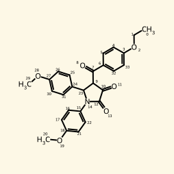 CCOc1ccc(C(=O)C2C(=O)C(=O)N(c3ccc(OC)cc3)C2c2ccc(OC)cc2)cc1